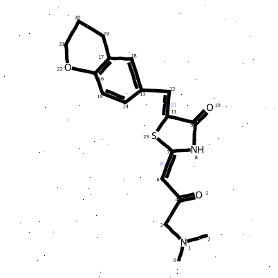 CN(C)CC(=O)/C=c1\[nH]c(=O)/c(=C/c2ccc3c(c2)CCCO3)s1